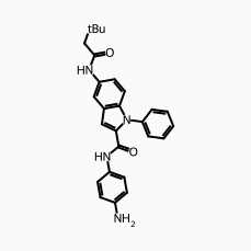 CC(C)(C)CC(=O)Nc1ccc2c(c1)cc(C(=O)Nc1ccc(N)cc1)n2-c1ccccc1